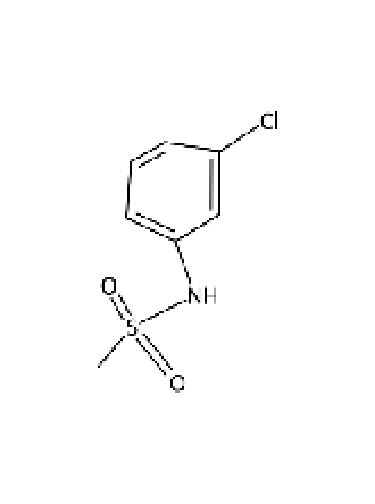 CS(=O)(=O)Nc1cccc(Cl)c1